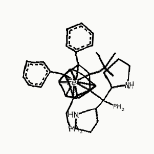 CC(C)(C)[C]12[C]3(c4ccccc4)[C]4(c5ccccc5)[C]5(CP)[C]1(C(P)(C1CCCN1)C1CCCN1)[Fe]54321678[CH]2[CH]1[CH]6[CH]7[CH]28